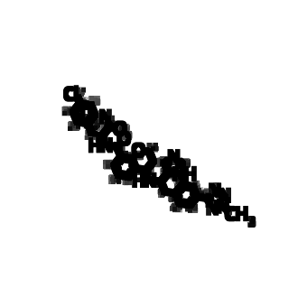 Cn1nnc(-c2ccc(CC(NC3CCOc4c(C(=O)N[C@@H](Cc5ccc(Cl)cc5)C(N)=O)cccc43)c3cnc[nH]3)cc2)n1